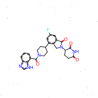 O=C1CCC(N2Cc3c(cc(F)cc3C3CCN(C(=O)c4cccc5nc[nH]c45)CC3)C2=O)C(=O)N1